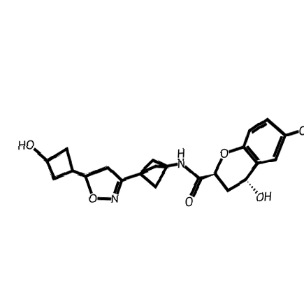 O=C(NC12CC(C3=NOC(C4CC(O)C4)C3)(C1)C2)[C@@H]1C[C@@H](O)c2cc(Cl)ccc2O1